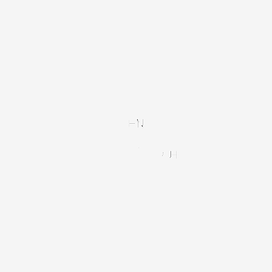 CC1Cc2ccccc2NC1c1ccc2ccccc2c1